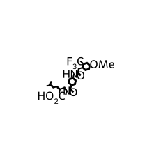 COc1ccc(CC(=O)Nc2ccc(C(=O)N(CC(=O)O)C/C(C)=C/C=C(C)C)cc2)c(C(F)(F)F)c1